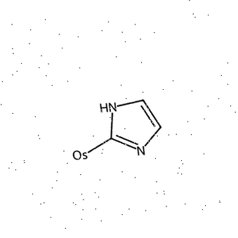 [Os][c]1ncc[nH]1